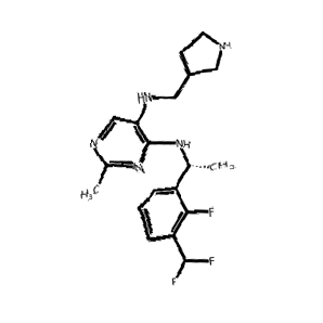 Cc1ncc(NCC2CCNC2)c(N[C@H](C)c2cccc(C(F)F)c2F)n1